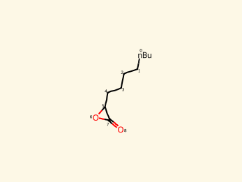 CCCCCCCCC1OC1=O